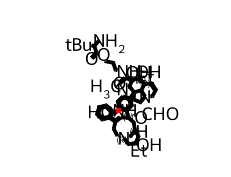 CCC1(O)C[C@H]2C[N@](CCc3c([nH]c4ccccc34)[C@@](COC=O)(c3cc4c(cc3CO)N(C)C3C45CCN4CC=C[C@](CC)(C45)[C@@H](O)[C@]3(O)C(=O)NCCCOC(=O)C(N)C(C)(C)C)C2)C1